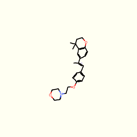 C/C(=C\c1ccc(OCCN2CCOCC2)cc1)c1ccc2c(c1)C(C)(C)CCO2